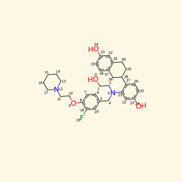 OCCN(Cc1ccc(OCCN2CCCCC2)c(F)c1)c1cc(O)ccc1C1CCc2cc(O)ccc2C1